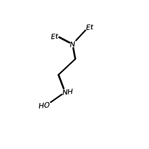 CCN(CC)CCNO